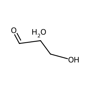 O.O=CCCO